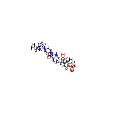 C=NN(/C=C\C)c1ccc(NC(=O)C2CCN(C[C@H](O)c3ccc4c(c3C)COC4=O)CC2)cc1